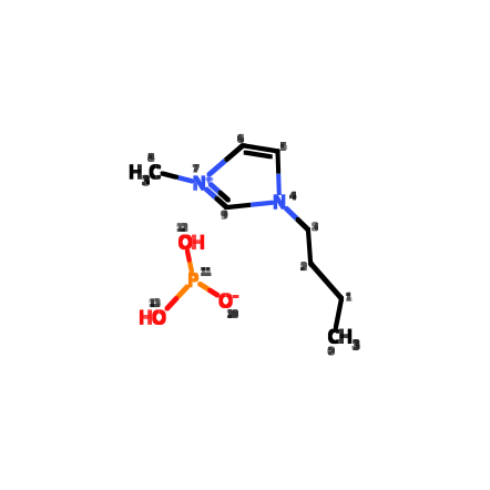 CCCCn1cc[n+](C)c1.[O-]P(O)O